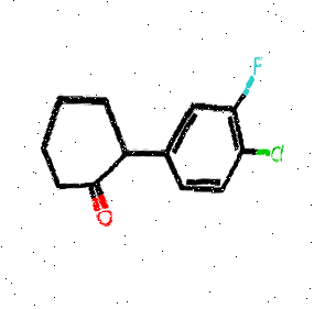 O=C1CCCCC1c1ccc(Cl)c(F)c1